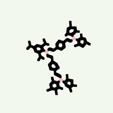 Cc1cc(C)c(B(/C=C/c2ccc(/C=C/B(/C=C/c3ccc(/C=C/B(c4cc(C)c(C)cc4C)c4c(C)cc(C)c(C)c4C)cc3)c3c(C(C)C)cc(C(C)C)cc3C(C)C)cc2)c2c(C)cc(C)cc2C)c(C)c1